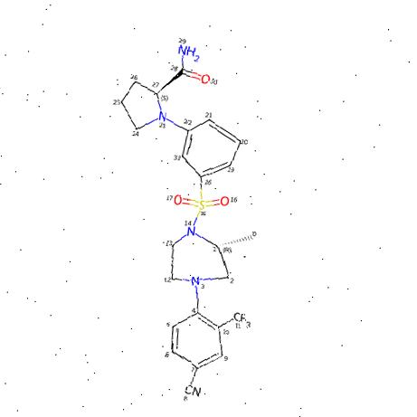 C[C@@H]1CN(c2ccc(C#N)cc2C(F)(F)F)CCN1S(=O)(=O)c1cccc(N2CCC[C@H]2C(N)=O)c1